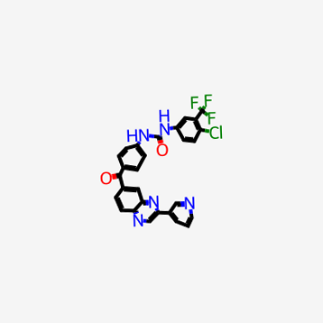 O=C(Nc1ccc(C(=O)c2ccc3ncc(-c4cccnc4)nc3c2)cc1)Nc1ccc(Cl)c(C(F)(F)F)c1